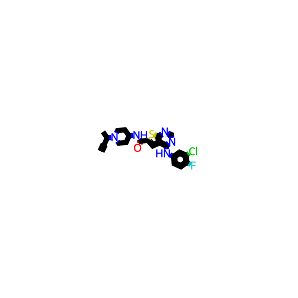 C#CC(C)N1CCC(NC(=O)c2cc3c(Nc4ccc(F)c(Cl)c4)ncnc3s2)CC1